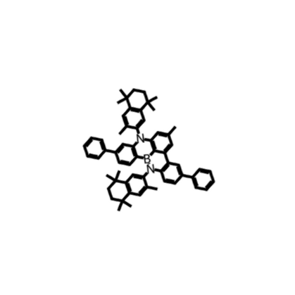 Cc1cc2c3c(c1)N(c1cc4c(cc1C)C(C)(C)CCC4(C)C)c1cc(-c4ccccc4)ccc1B3N(c1cc3c(cc1C)C(C)(C)CCC3(C)C)c1ccc(-c3ccccc3)cc1-2